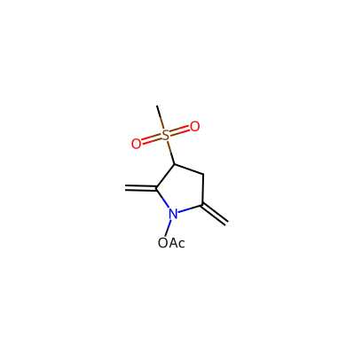 C=C1CC(S(C)(=O)=O)C(=C)N1OC(C)=O